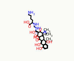 CN(C)C1C(=O)/C(=C(/O)NCNC(CCCCN)C(=O)O)C(=O)[C@@]2(O)C(=O)C3=C(O)c4c(O)cccc4[C@@](C)(O)C3C[C@@H]12